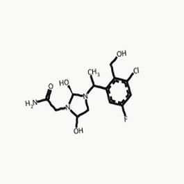 CC(c1cc(F)cc(Cl)c1CO)N1CC(O)N(CC(N)=O)[C@H]1O